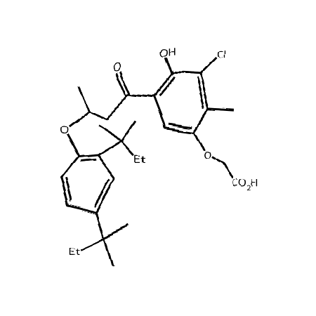 CCC(C)(C)c1ccc(OC(C)CC(=O)c2cc(OCC(=O)O)c(C)c(Cl)c2O)c(C(C)(C)CC)c1